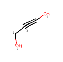 OC#CCO